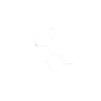 Cc1cccc(C(CO)C(=O)O)c1Cl